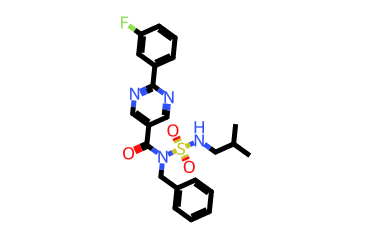 CC(C)CNS(=O)(=O)N(Cc1ccccc1)C(=O)c1cnc(-c2cccc(F)c2)nc1